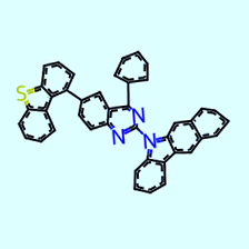 c1ccc(-c2nc(-n3c4ccccc4c4cc5ccccc5cc43)nc3ccc(-c4cccc5sc6ccccc6c45)cc23)cc1